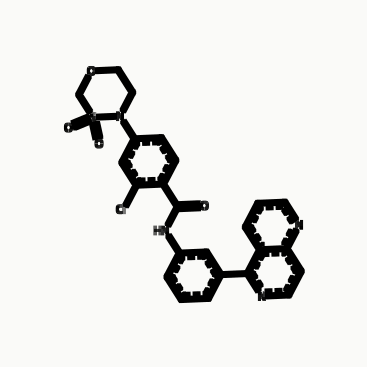 O=C(Nc1cccc(-c2nccc3ncccc23)c1)c1ccc(N2CCOCS2(=O)=O)cc1Cl